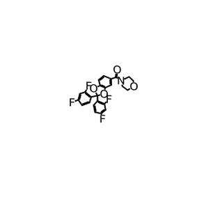 O=C(c1ccc2c(c1)OC(c1ccc(F)cc1F)(c1ccc(F)cc1F)O2)N1CCOCC1